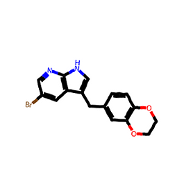 Brc1cnc2[nH]cc(Cc3ccc4c(c3)OCCO4)c2c1